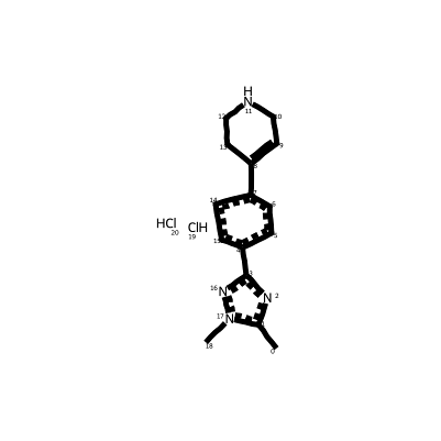 Cc1nc(-c2ccc(C3=CCNCC3)cc2)nn1C.Cl.Cl